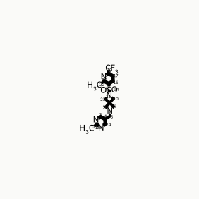 Cc1ncc(CN2CC3(C2)CN(S(=O)(=O)c2ccc(C(F)(F)F)nc2C)C3)cn1